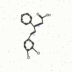 O=C(O)/C=C(/C=C/c1ccc(Cl)c(Cl)c1)c1ccccc1